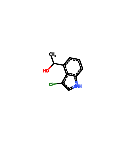 CC(O)c1cccc2[nH]cc(Cl)c12